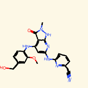 COc1cc(CO)ccc1Nc1cc(Nc2cccc(C#N)n2)nc2[nH]n(C)c(=O)c12